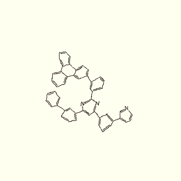 c1ccc(-c2cccc(-c3cc(-c4cccc(-c5cccnc5)c4)nc(-c4cccc(-c5ccc6c7ccccc7c7ccccc7c6c5)c4)n3)c2)cc1